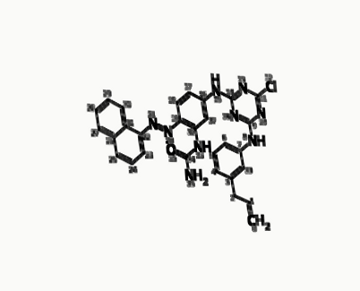 C=CCc1cccc(Nc2nc(Cl)nc(Nc3ccc(N=Nc4cccc5ccccc45)c(NC(N)=O)c3)n2)c1